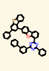 c1ccc(-c2cccc(-c3nc(-c4ccccc4)nc(-c4cccc5c4oc4cc(-c6cc(-c7ccccc7)cc7sc8ccccc8c67)ccc45)n3)c2)cc1